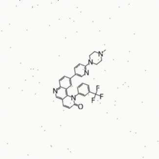 CN1CCN(c2ccc(-c3ccc4ncc5ccc(=O)n(-c6cccc(C(F)(F)F)c6)c5c4c3)cn2)CC1